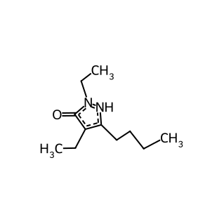 CCCCc1[nH]n(CC)c(=O)c1CC